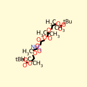 CC(C)(C)OC(=O)OC(C)(C)CCOC(C)(C)C(=O)OCC(=O)COC(=O)C(C)(N)OCCC(C)(C)OC(=O)OC(C)(C)C